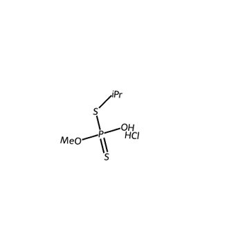 COP(O)(=S)SC(C)C.Cl